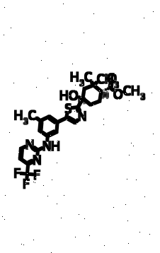 COC(=O)[C@@H]1CC[C@](O)(c2ncc(-c3cc(C)cc(Nc4nccc(C(F)(F)F)n4)c3)s2)CC1(C)C